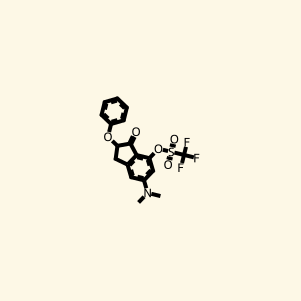 CN(C)c1cc2c(c(OS(=O)(=O)C(F)(F)F)c1)C(=O)C(Oc1ccccc1)C2